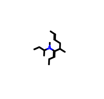 C/C=C/CC(C)/C(=C/CC)N(C)C(C)CC